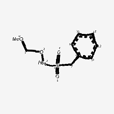 COCONS(=O)(=O)Cc1ccccc1